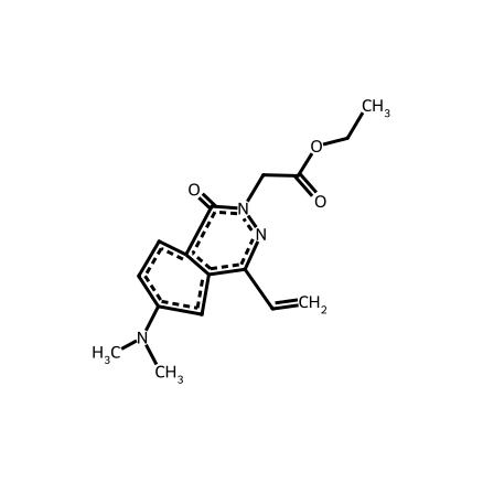 C=Cc1nn(CC(=O)OCC)c(=O)c2ccc(N(C)C)cc12